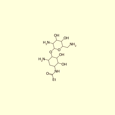 CCC(=O)NC1CC(N)C(OC2OC(CN)C(O)C(O)C2N)C(O)C1O